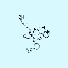 C#CCOCCOC1=NC(C)=C(c2cccnc2)CC1(NC(=O)c1cccc(C(F)(F)F)c1)N1CCOCC1